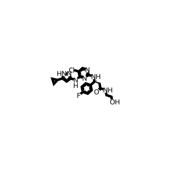 O=C(C[C@H](Nc1ncc(Cl)c(Nc2cc(C3CC3)[nH]n2)n1)c1ccc(F)cc1)NCCO